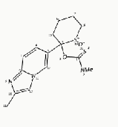 CNC(=S)OC1(c2ccc3nc(C)cn3c2)CCCC[S+]1[O-]